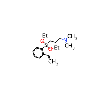 C=Cc1ccccc1[Si](CCCN(C)C)(OCC)OCC